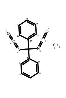 C.O=C=NC(N=C=O)(c1ccccc1)c1ccccc1